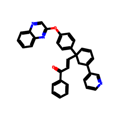 O=C(C=CC1(c2ccc(Oc3cnc4ccccc4n3)cc2)C=CC=C(c2cccnc2)C1)c1ccccc1